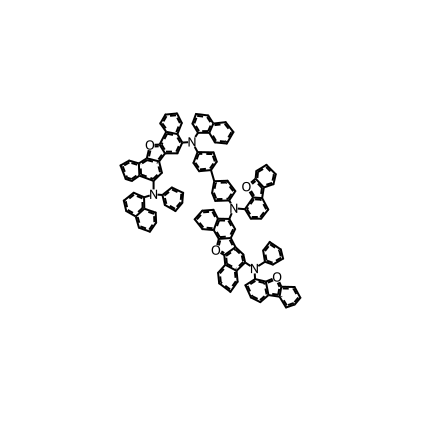 c1ccc(N(c2cccc3ccccc23)c2cc3c4cc(N(c5ccc(-c6ccc(N(c7cc8c9cc(N(c%10ccccc%10)c%10cccc%11c%10oc%10ccccc%10%11)c%10ccccc%10c9oc8c8ccccc78)c7cccc8c7oc7ccccc78)cc6)cc5)c5cccc6ccccc56)c5ccccc5c4oc3c3ccccc23)cc1